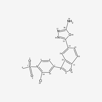 CS(=O)(=O)c1ccc(-c2coc3ccc(-c4nnc(N)o4)cc23)cc1Cl